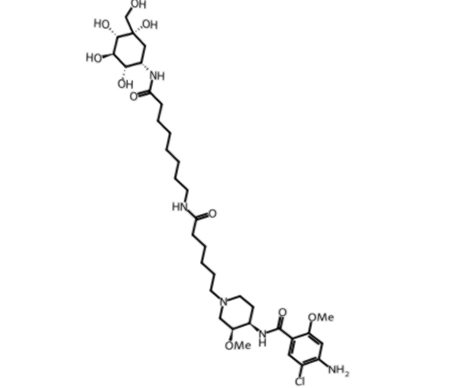 COc1cc(N)c(Cl)cc1C(=O)N[C@@H]1CCN(CCCCCC(=O)NCCCCCCCC(=O)N[C@H]2C[C@](O)(CO)[C@@H](O)[C@H](O)[C@H]2O)C[C@@H]1OC